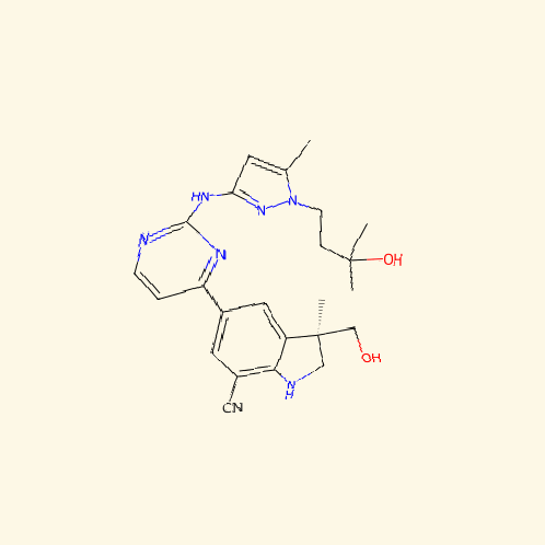 Cc1cc(Nc2nccc(-c3cc(C#N)c4c(c3)[C@@](C)(CO)CN4)n2)nn1CCC(C)(C)O